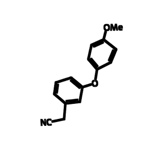 COc1ccc(Oc2cccc(CC#N)c2)cc1